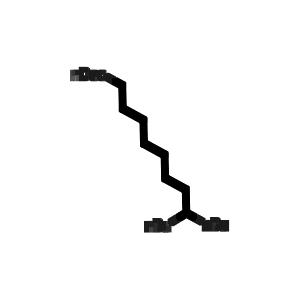 CCCCCCCCCCCCCCCCCC(CCCC)CCCC